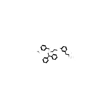 NC(=O)Cc1cccc(OCCCN(Cc2cccc(OC(F)(F)F)c2)CC(c2ccccc2)c2ccccc2)c1